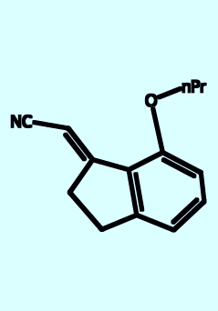 CCCOc1cccc2c1/C(=C/C#N)CC2